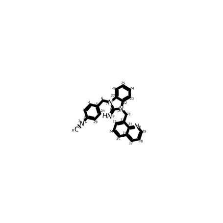 [C-]#[N+]c1ccc(Cn2c(=N)n(Cc3cccc4cccnc34)c3ccccc32)cc1